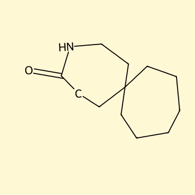 O=C1CCC2(CCCCCC2)CCN1